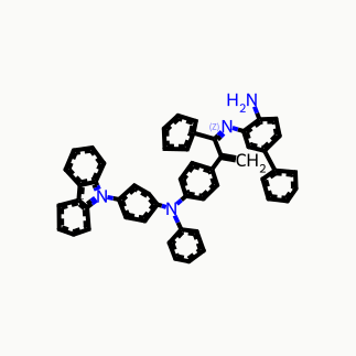 C=C(/C(=N\c1cc(-c2ccccc2)ccc1N)c1ccccc1)c1ccc(N(c2ccccc2)c2ccc(-n3c4ccccc4c4ccccc43)cc2)cc1